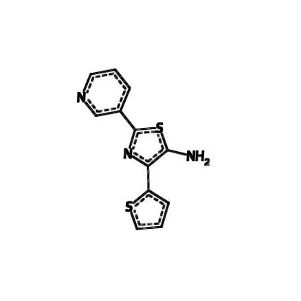 Nc1sc(-c2cccnc2)nc1-c1cccs1